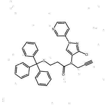 C#CCN(C(=O)CCSC(c1ccccc1)(c1ccccc1)c1ccccc1)c1cn(-c2cccnc2)nc1Cl